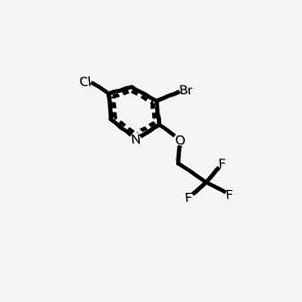 FC(F)(F)COc1ncc(Cl)cc1Br